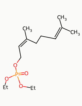 CCOP(=O)(OCC)OCC=C(C)CCC=C(C)C